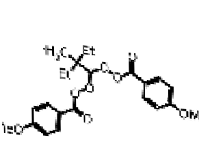 [CH2]C(CC)(CC)[C](OOC(=O)c1ccc(OC)cc1)OOC(=O)c1ccc(OC)cc1